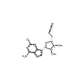 CC(=O)O[C@@H]1[C@H](OC(C)=O)[C@@H](CN=[N+]=[N-])O[C@H]1n1cnc2c(N)nc(Cl)nc21